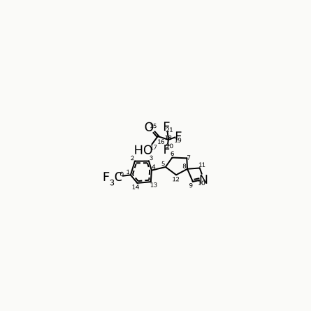 FC(F)(F)c1ccc(C2CCC3(C=NC3)C2)cc1.O=C(O)C(F)(F)F